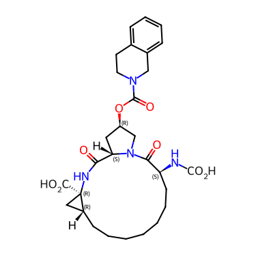 O=C(O)N[C@H]1CCCCCCC[C@@H]2C[C@@]2(C(=O)O)NC(=O)[C@@H]2C[C@@H](OC(=O)N3CCc4ccccc4C3)CN2C1=O